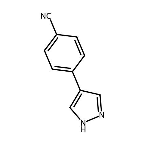 N#Cc1ccc(-c2cn[nH]c2)cc1